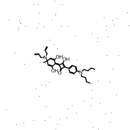 C=CCN(CC=C)C1(C)C=C(O)C(=C2C(=O)C(c3ccc(N(CCCC)CCCC)cc3)=C2O)C(O)=C1